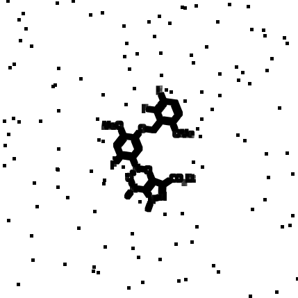 CCOC(=O)c1nn(C)c2c1on(-c1cc(OCc3c(OC)ccc(F)c3F)c(OC)cc1F)on2C